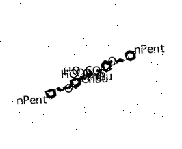 CCCCC[C@H]1CC[C@H](C=CCOc2ccc(C(=O)O[C@@](CCCC)(C(=O)O)[C@@](CCCC)(OC(=O)c3ccc(OCC=C[C@H]4CC[C@H](CCCCC)CC4)cc3)C(=O)O)cc2)CC1